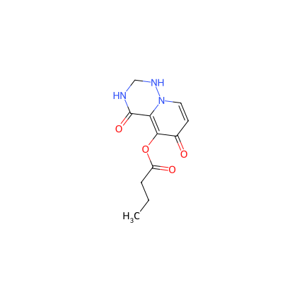 CCCC(=O)Oc1c2n(ccc1=O)NCNC2=O